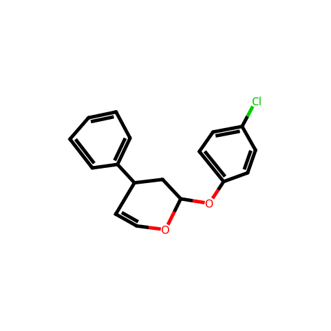 Clc1ccc(OC2CC(c3ccccc3)C=CO2)cc1